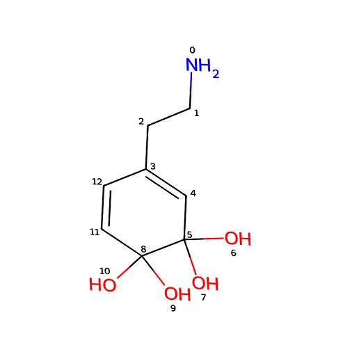 NCCC1=CC(O)(O)C(O)(O)C=C1